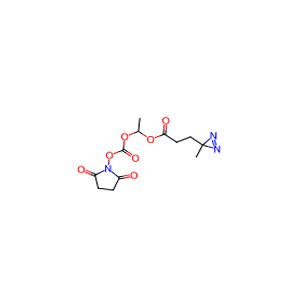 CC(OC(=O)CCC1(C)N=N1)OC(=O)ON1C(=O)CCC1=O